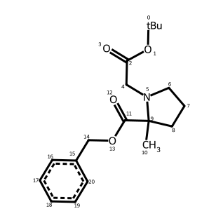 CC(C)(C)OC(=O)CN1CCCC1(C)C(=O)OCc1ccccc1